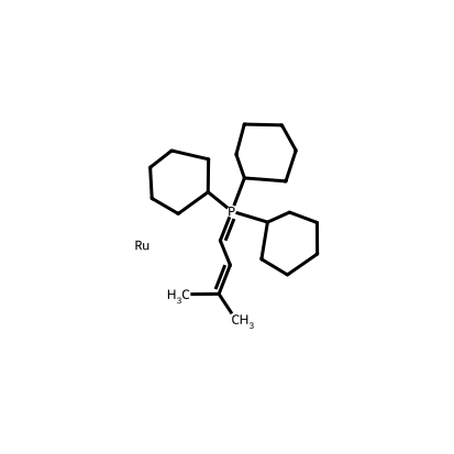 CC(C)=CC=P(C1CCCCC1)(C1CCCCC1)C1CCCCC1.[Ru]